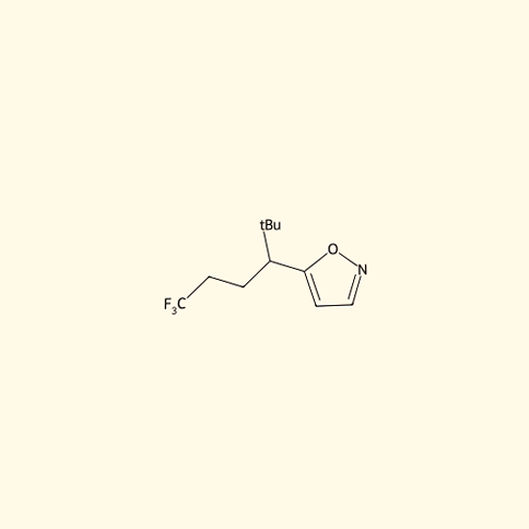 CC(C)(C)C(CCC(F)(F)F)c1ccno1